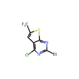 CCc1nc(Cl)c2cc(C(F)(F)F)sc2n1